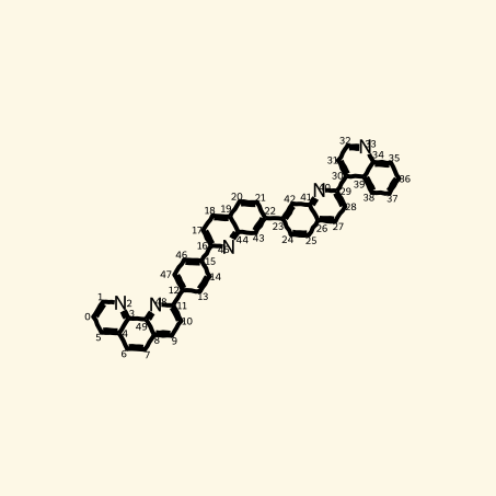 c1cnc2c(c1)ccc1ccc(-c3ccc(-c4ccc5ccc(-c6ccc7ccc(-c8ccnc9ccccc89)nc7c6)cc5n4)cc3)nc12